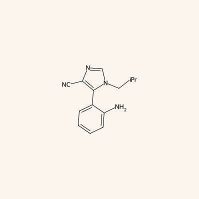 CC(C)Cn1cnc(C#N)c1-c1ccccc1N